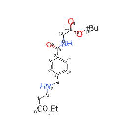 CCOC(=O)CCNCc1ccc(C(=O)NCC(=O)OC(C)(C)C)cc1